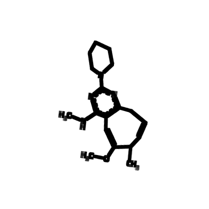 CNc1nc(N2CCCCC2)nc2c1/C=C(/OC)C(C)/C=C\C2